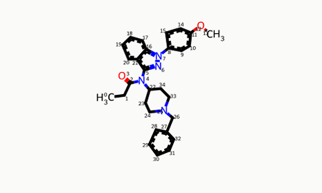 CCC(=O)N(c1nn(-c2ccc(OC)cc2)c2ccccc12)C1CCN(Cc2ccccc2)CC1